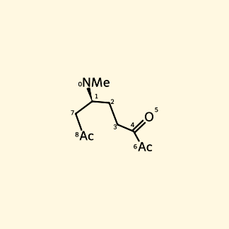 CN[C@@H](CCC(=O)C(C)=O)CC(C)=O